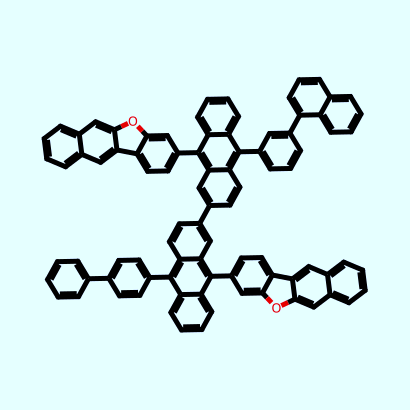 c1ccc(-c2ccc(-c3c4ccccc4c(-c4ccc5c(c4)oc4cc6ccccc6cc45)c4cc(-c5ccc6c(-c7cccc(-c8cccc9ccccc89)c7)c7ccccc7c(-c7ccc8c(c7)oc7cc9ccccc9cc78)c6c5)ccc34)cc2)cc1